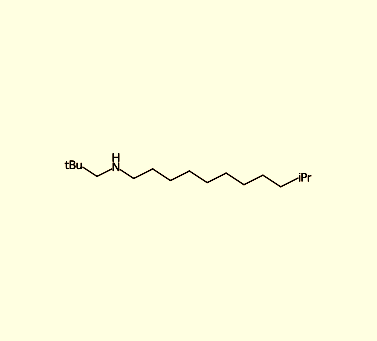 CC(C)CCCCCCCCCNCC(C)(C)C